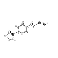 CCCCCCCCOc1ccc(B2OCCO2)cn1